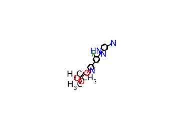 COC(=O)C(C)(C)COc1ccc(-c2ccc(-c3nc4cc(C#N)ccc4[nH]3)c(F)c2)cn1